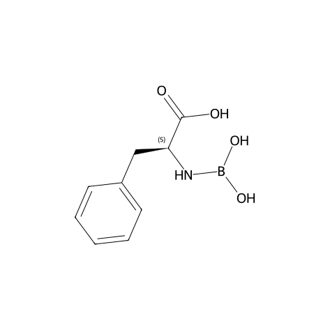 O=C(O)[C@H](Cc1ccccc1)NB(O)O